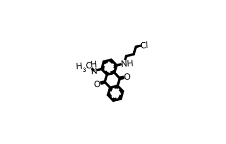 CNc1ccc(NCCCCl)c2c1C(=O)c1ccccc1C2=O